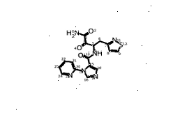 NC(=O)C(=O)C(Cc1ccsn1)NC(=O)c1cncn1-c1ccccn1